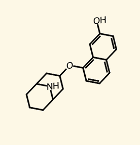 Oc1ccc2cccc(OC3CC4CCCC(C3)N4)c2c1